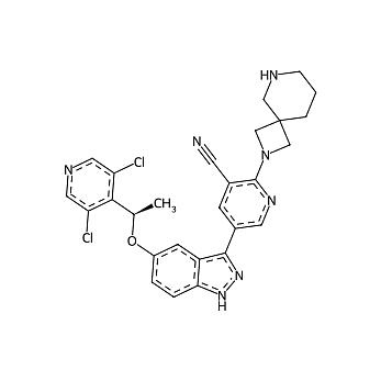 C[C@@H](Oc1ccc2[nH]nc(-c3cnc(N4CC5(CCCNC5)C4)c(C#N)c3)c2c1)c1c(Cl)cncc1Cl